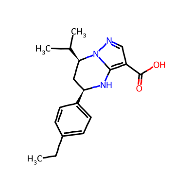 CCc1ccc([C@H]2C[C@@H](C(C)C)n3ncc(C(=O)O)c3N2)cc1